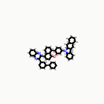 c1ccc(-c2cccc(-c3nc4ccccc4nc3-c3ccc4c5c(cccc35)-c3ccc(-n5c6ccccc6c6cc7ccccc7cc65)cc3O4)c2)cc1